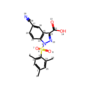 Cc1cc(C)c(S(=O)(=O)n2nc(C(=O)O)c3cc(C#N)ccc32)c(C)c1